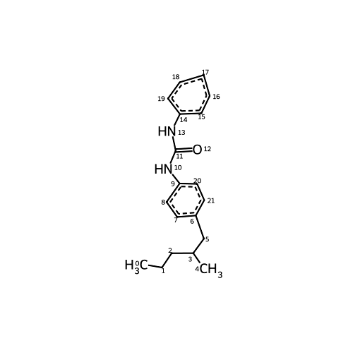 CCCC(C)Cc1ccc(NC(=O)Nc2ccccc2)cc1